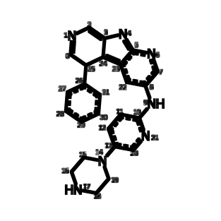 C1=NC=C2N=c3ncc(Nc4ccc(N5CCNCC5)cn4)cc3=C2C1c1ccccc1